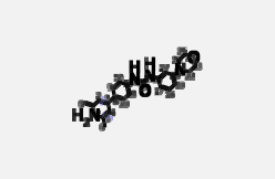 C=C/C=C(\C=C(\C)N)c1ccc(NC(=O)Nc2cccc(N3CCOCC3)c2)cc1